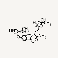 CNC1CNCC1Oc1ccc2c(c1)CN(C(CCC(=O)OC(C)(C)C)C(N)=O)C2=O